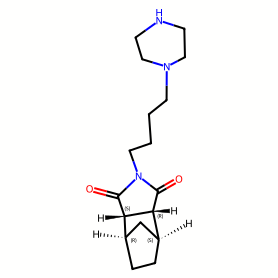 O=C1[C@@H]2[C@H]3CC[C@H](C3)[C@@H]2C(=O)N1CCCCN1CCNCC1